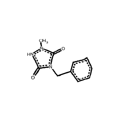 Cn1[nH]c(=O)n(Cc2ccccc2)c1=O